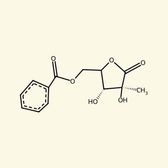 C[C@@]1(O)C(=O)OC(COC(=O)c2ccccc2)[C@H]1O